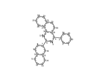 c1ccc(-c2nc(-c3ccc4ccccc4c3)nc3c2ccc2ccccc23)cc1